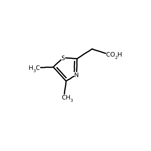 Cc1nc(CC(=O)O)sc1C